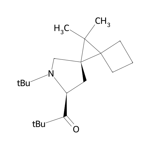 CC(C)(C)C(=O)[C@@H]1C[C@@]2(CN1C(C)(C)C)C(C)(C)C21CCC1